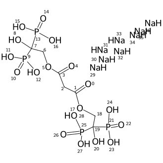 O=C(CC(=O)OCC(O)(P(=O)(O)O)P(=O)(O)O)OCC(O)(P(=O)(O)O)P(=O)(O)O.[NaH].[NaH].[NaH].[NaH].[NaH].[NaH].[NaH].[NaH]